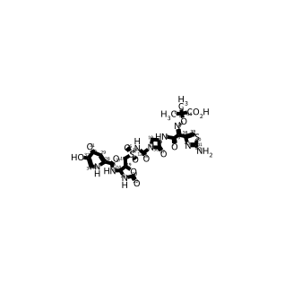 CC(C)(ON=C(C(=O)NC1CN(C(=O)NS(=O)(=O)CC2OC(=O)NC2NC(=O)c2cc(=O)c(O)c[nH]2)C1=O)c1csc(N)n1)C(=O)O